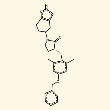 Cc1cc(OCc2ccccc2)cc(C)c1C[C@@H]1CCN(C2CCc3n[nH]cc3C2)C1=O